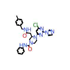 Cc1ccc(CNC(=O)CC2CN(C(=O)Nc3ccccc3)CCN2c2cc(Cl)nc(-n3ccnc3)n2)cc1